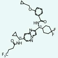 O=C(CCC(F)(F)F)N[C@@H](c1cnn2cc([C@@H](NC(=O)c3cccc(OCC4CC4)c3)C3CCC(F)(F)CC3)nc2c1)C1CC1